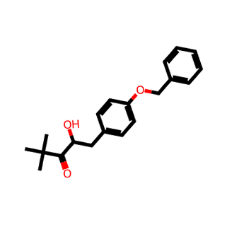 CC(C)(C)C(=O)C(O)Cc1ccc(OCc2ccccc2)cc1